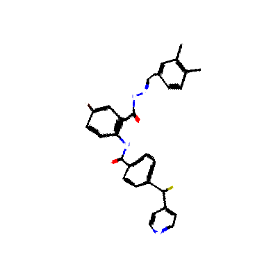 Cc1ccc(/C=N/NC(=O)c2cc(Br)ccc2NC(=O)c2ccc(C(S)c3ccncc3)cc2)cc1C